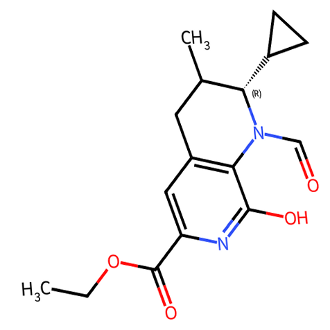 CCOC(=O)c1cc2c(c(O)n1)N(C=O)[C@@H](C1CC1)C(C)C2